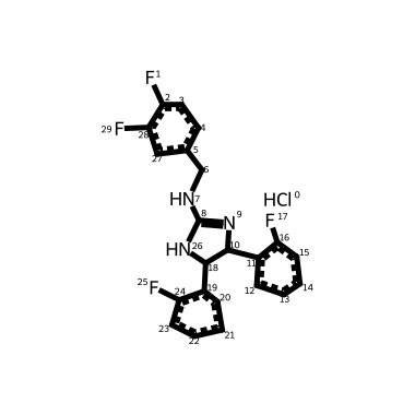 Cl.Fc1ccc(CNC2=NC(c3ccccc3F)C(c3ccccc3F)N2)cc1F